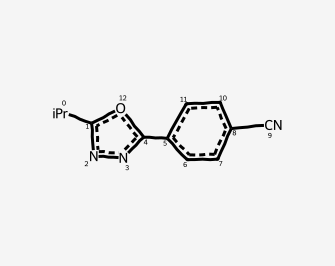 CC(C)c1nnc(-c2ccc(C#N)cc2)o1